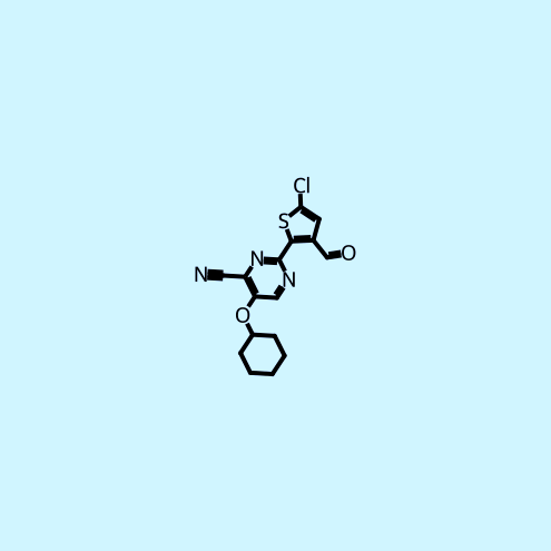 N#Cc1nc(-c2sc(Cl)cc2C=O)ncc1OC1CCCCC1